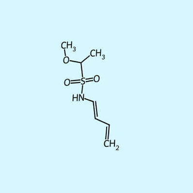 C=C/C=C/NS(=O)(=O)C(C)OC